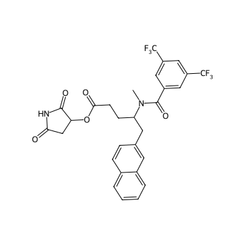 CN(C(=O)c1cc(C(F)(F)F)cc(C(F)(F)F)c1)C(CCC(=O)OC1CC(=O)NC1=O)Cc1ccc2ccccc2c1